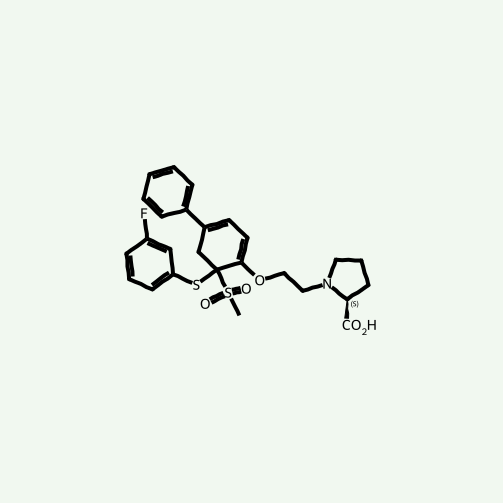 CS(=O)(=O)C1(Sc2cccc(F)c2)CC(c2ccccc2)=CC=C1OCCN1CCC[C@H]1C(=O)O